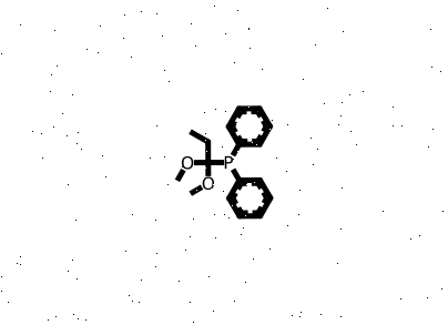 CCC(OC)(OC)P(c1ccccc1)c1ccccc1